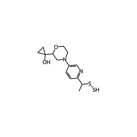 CC(SS)c1ccc(N2CCOC(C3(O)CC3)C2)cn1